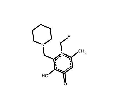 Cc1cc(=O)c(O)c(CN2CCCCC2)n1CF